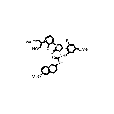 COCC(CO)n1cccc(N2C[C@@H](c3c(F)cc(OC)cc3F)[C@H](NC(=O)NC3CCc4cc(OC)ccc4C3)C2=O)c1=O